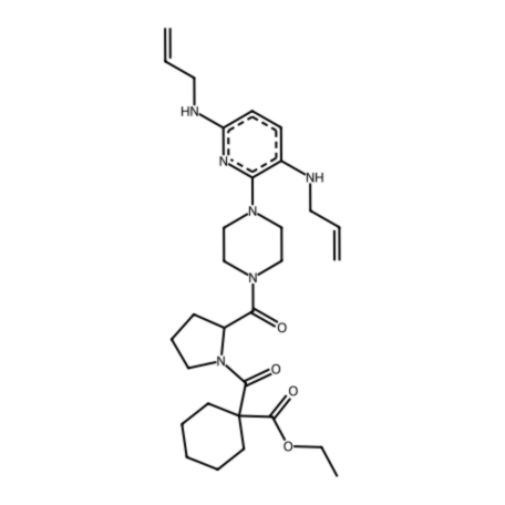 C=CCNc1ccc(NCC=C)c(N2CCN(C(=O)C3CCCN3C(=O)C3(C(=O)OCC)CCCCC3)CC2)n1